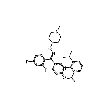 CC(C)c1cccc(C(C)C)c1-n1cc(C(=NOC2CCN(C)CC2)c2ccc(F)cc2F)ccc1=O